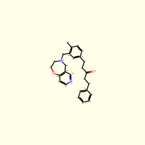 Cc1ccc(CCC(=O)CCc2ccccc2)cc1CN1CCOc2ccncc2C1